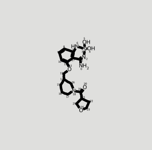 NC1=NS(O)(O)Nc2cccc(OCC3CCCN(C(=O)C4CCOC4)C3)c21